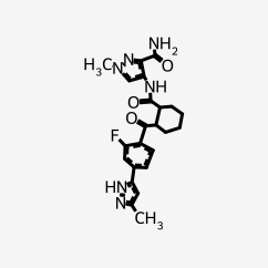 Cc1cc(-c2ccc(C(=O)C3CCCCC3C(=O)Nc3cn(C)nc3C(N)=O)c(F)c2)[nH]n1